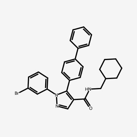 O=C(NCC1CCCCC1)c1cnn(-c2cccc(Br)c2)c1-c1ccc(-c2ccccc2)cc1